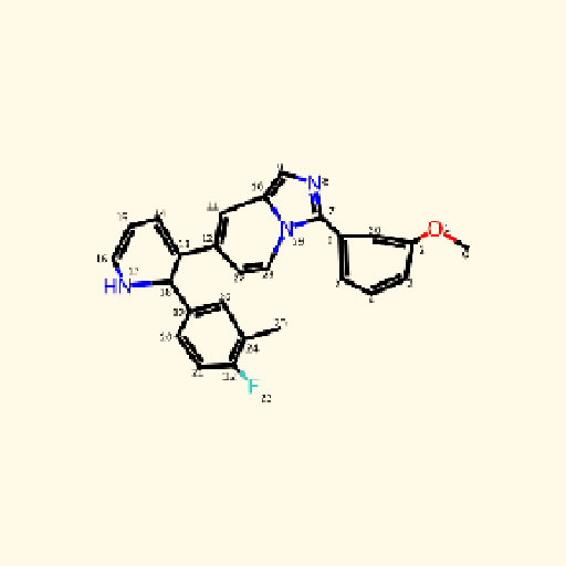 COc1cccc(-c2ncc3cc(C4=CC=CNC4c4ccc(F)c(C)c4)ccn23)c1